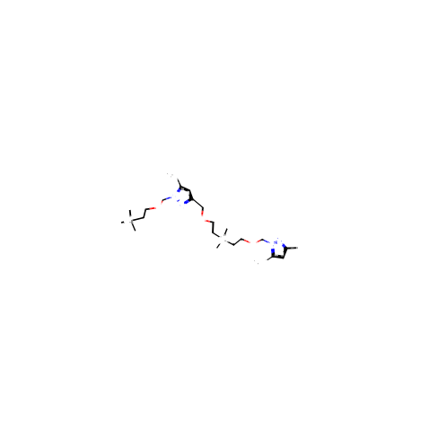 C[Si](C)(C)CCOCn1nc(COCC[Si](C)(C)CCOCn2nc(C=O)cc2C#N)cc1C#N